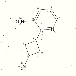 NC1CN(c2ncccc2[N+](=O)[O-])C1